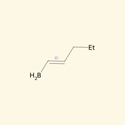 B/C=C/CCC